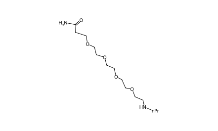 CCCNCCOCCOCCOCCOCCC(N)=O